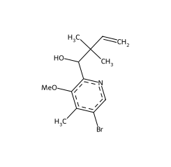 C=CC(C)(C)C(O)c1ncc(Br)c(C)c1OC